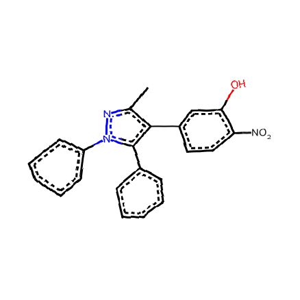 Cc1nn(-c2ccccc2)c(-c2ccccc2)c1-c1ccc([N+](=O)[O-])c(O)c1